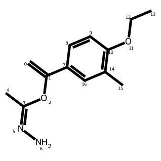 C=C(O/C(C)=N\N)c1ccc(OCC)c(C)c1